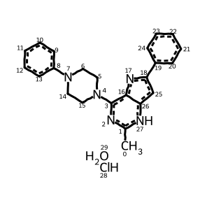 Cc1nc(N2CCN(c3ccccc3)CC2)c2nc(-c3ccccc3)cc-2[nH]1.Cl.O